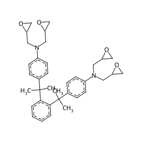 CC(C)(c1ccc(N(CC2CO2)CC2CO2)cc1)c1ccccc1C(C)(C)c1ccc(N(CC2CO2)CC2CO2)cc1